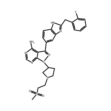 CS(=O)(=O)CCN1CCC(n2nc(-c3ccc4[nH]c(Cc5ccccc5F)nc4c3)c3c(N)ncnc32)C1